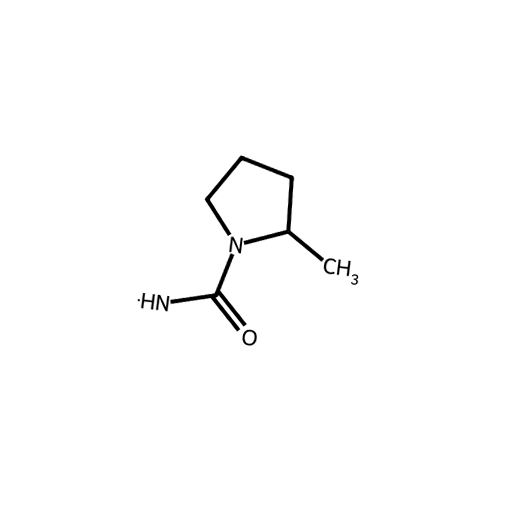 CC1CCCN1C([NH])=O